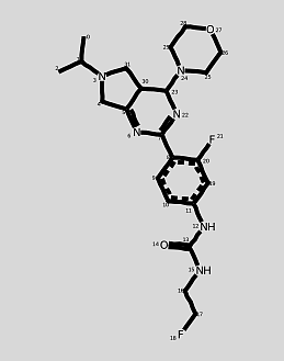 CC(C)N1CC2=NC(c3ccc(NC(=O)NCCF)cc3F)=NC(N3CCOCC3)C2C1